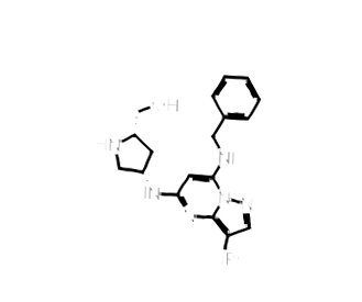 CC(C)c1cnn2c(NCc3ccccc3)cc(N[C@@H]3CN[C@H](CO)C3)nc12